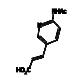 CC(=O)Nc1ccc(C=CC(=O)O)cn1